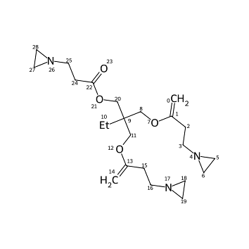 C=C(CCN1CC1)OCC(CC)(COC(=C)CCN1CC1)COC(=O)CCN1CC1